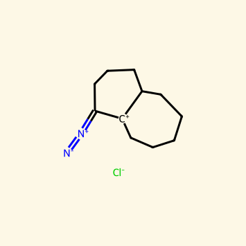 [Cl-].[N-]=[N+]=C1CCCC2CCCCC[C+]12